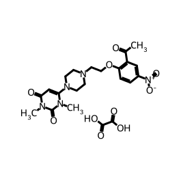 CC(=O)c1cc([N+](=O)[O-])ccc1OCCN1CCN(c2cc(=O)n(C)c(=O)n2C)CC1.O=C(O)C(=O)O